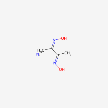 CC(=NO)C(C)=NO.[N]